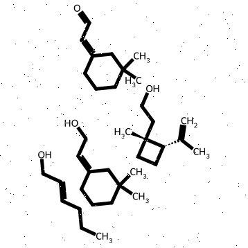 C=C(C)[C@@H]1CC[C@]1(C)CCO.CC1(C)CCC/C(=C/CO)C1.CC1(C)CCCC(=CC=O)C1.CCC/C=C/CO